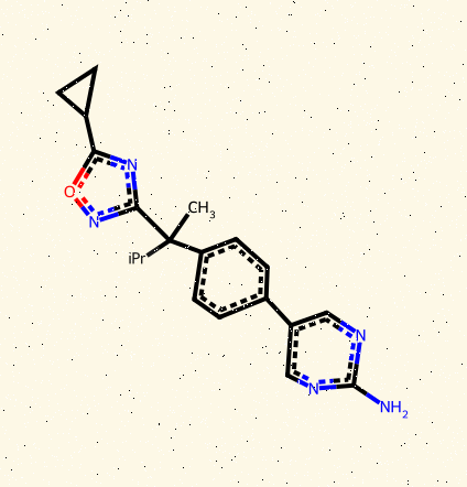 CC(C)C(C)(c1ccc(-c2cnc(N)nc2)cc1)c1noc(C2CC2)n1